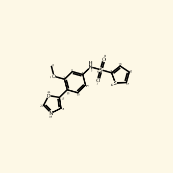 COc1cc(NS(=O)(=O)c2cccs2)ccc1-c1cnco1